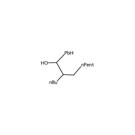 CCCCCCC(CCCC)[CH](O)[PbH]